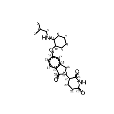 CC(C)CNC1CCCCC1Oc1ccc2c(c1)CN(C1CCC(=O)NC1=O)C2=O